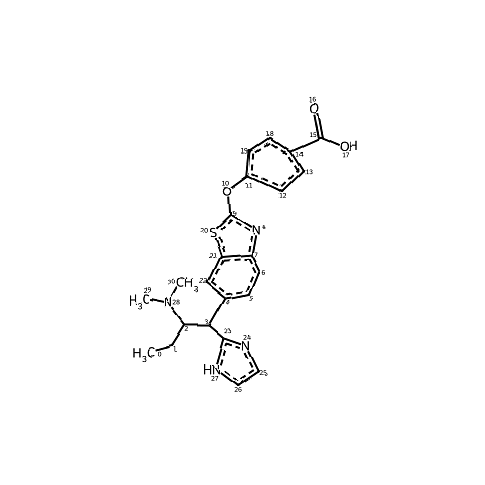 CCC(C(c1ccc2nc(Oc3ccc(C(=O)O)cc3)sc2c1)c1ncc[nH]1)N(C)C